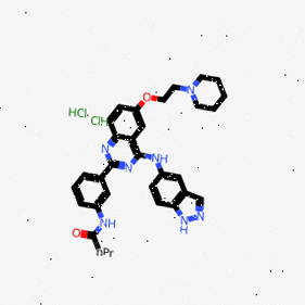 CCCC(=O)Nc1cccc(-c2nc(Nc3ccc4[nH]ncc4c3)c3cc(OCCN4CCCCC4)ccc3n2)c1.Cl.Cl